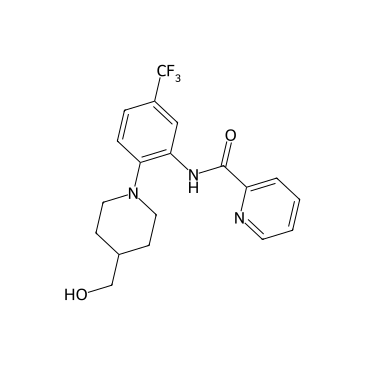 O=C(Nc1cc(C(F)(F)F)ccc1N1CCC(CO)CC1)c1ccccn1